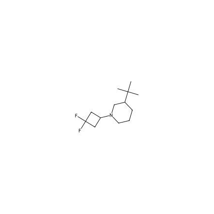 CC(C)(C)C1CCCN(C2CC(F)(F)C2)C1